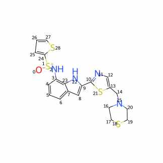 [O-][S+](Nc1cccc2cc(-c3ncc(CN4CCSCC4)s3)[nH]c12)c1cccs1